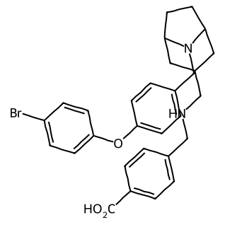 O=C(O)c1ccc(CNCC2CC3CCC(C2)N3Cc2ccc(Oc3ccc(Br)cc3)cc2)cc1